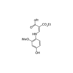 CCCC(=O)C(=CNc1ccc(O)cc1OC)C(=O)OCC